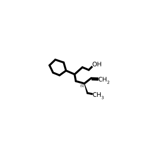 C=C[C@@H](CC)CC(CCO)C1CCCCC1